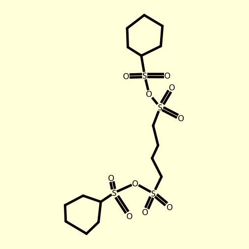 O=S(=O)(CCCCS(=O)(=O)OS(=O)(=O)C1CCCCC1)OS(=O)(=O)C1CCCCC1